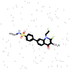 CCCCCCCNS(=O)(=O)c1ccc(-c2ccc3c(=O)c(C(=O)O)c(F)n(CCF)c3c2)cc1